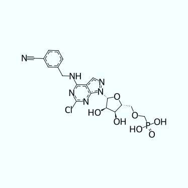 N#Cc1cccc(CNc2nc(Cl)nc3c2cnn3[C@@H]2O[C@H](COCP(=O)(O)O)[C@@H](O)[C@H]2O)c1